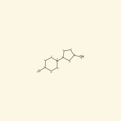 [O]C1CCN(C2CCC(O)C2)CC1